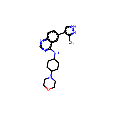 FC(F)(F)c1n[nH]cc1-c1ccc2ncnc(NC3CCC(N4CCOCC4)CC3)c2c1